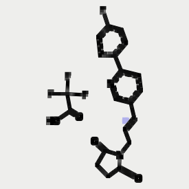 O=C(O)C(F)(F)F.O=C1CCC(=O)N1C/C=C/c1ccc(-c2ccc(F)cc2)nc1